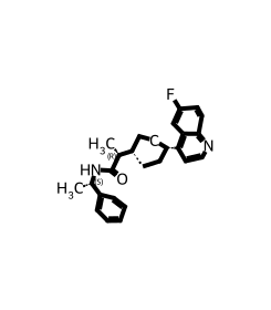 C[C@H](NC(=O)[C@H](C)[C@H]1CC[C@@H](c2ccnc3ccc(F)cc32)CC1)c1ccccc1